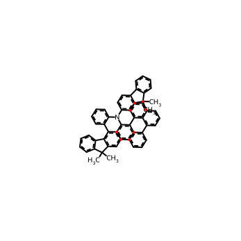 CC1(C)c2ccccc2-c2ccc(N(c3ccccc3-c3cccc4c3-c3ccccc3C4(C)C)c3ccccc3-c3cccc4cccc(-c5ccccc5)c34)cc21